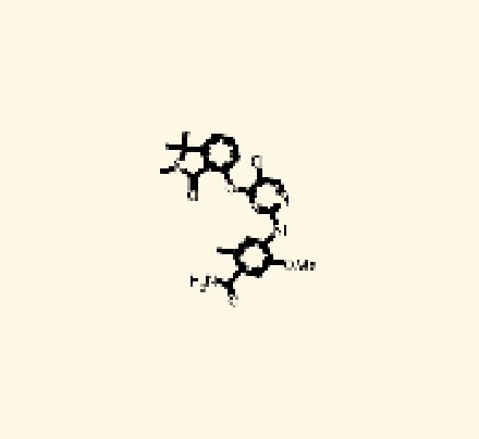 COc1cc(C(N)=O)c(C)cc1Nc1ncc(Cl)c(Oc2cccc3c2C(=O)N(C)C3(C)C)n1